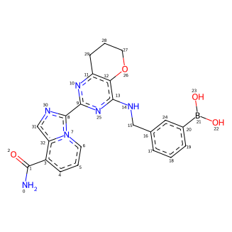 NC(=O)c1cccn2c(-c3nc4c(c(NCc5cccc(B(O)O)c5)n3)OCCC4)ncc12